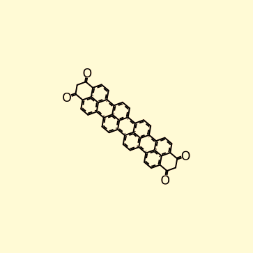 O=C1CC(=O)c2ccc3c4ccc5c6ccc7c8ccc9c%10c(ccc(c%11ccc(c%12ccc(c%13ccc1c2c%133)c4c%125)c6c%117)c%108)C(=O)CC9=O